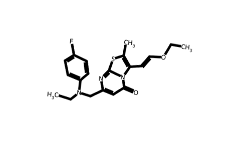 CCOC=Cc1c(C)sc2nc(CN(CC)c3ccc(F)cc3)cc(=O)n12